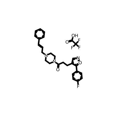 O=C(CCc1cnoc1-c1ccc(F)cc1)N1CCN(C/C=C/c2ccccc2)CC1.O=C(O)C(F)(F)F